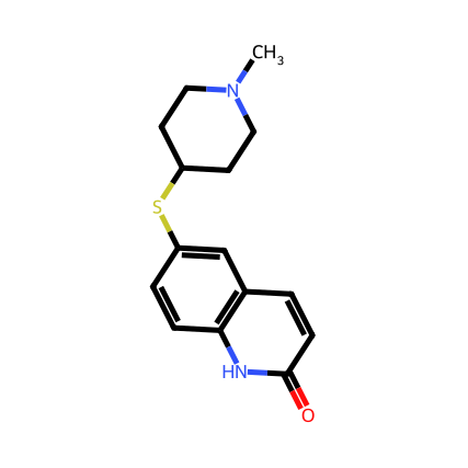 CN1CCC(Sc2ccc3[nH]c(=O)ccc3c2)CC1